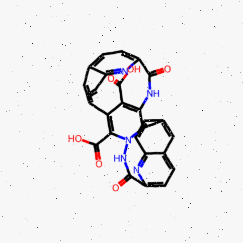 O=C(O)C1=C2NC(=O)c3ccc4cc(ccc4n3)C1=C(C(=O)O)N1NC(=O)c3ccc4cc(ccc4n3)C21